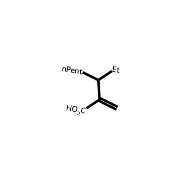 C=C(C(=O)O)C(CC)CCCCC